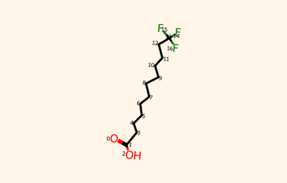 O=C(O)CCCCCCCCCCC(F)(F)F